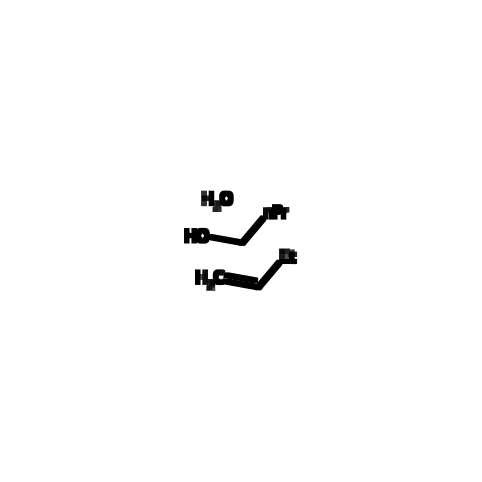 C=CCC.CCCCO.O